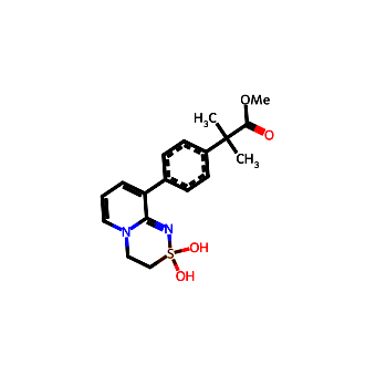 COC(=O)C(C)(C)c1ccc(C2=CC=CN3CCS(O)(O)N=C23)cc1